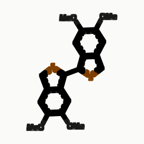 COc1cc2csc(-c3scc4cc(OC)c(OC)cc34)c2cc1OC